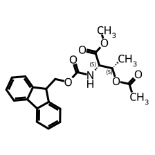 COC(=O)[C@@H](NC(=O)OCC1c2ccccc2-c2ccccc21)[C@H](C)OC(C)=O